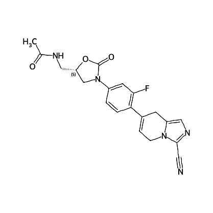 CC(=O)NC[C@H]1CN(c2ccc(C3=CCn4c(cnc4C#N)C3)c(F)c2)C(=O)O1